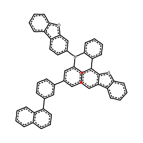 c1cc(-c2cccc(N(c3ccc4c(c3)oc3ccccc34)c3ccccc3-c3cccc4c3sc3ccccc34)c2)cc(-c2cccc3ccccc23)c1